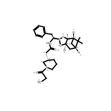 CC1(C)[C@@H]2C[C@H]3OB([C@H](Cc4ccccc4)NC(=O)C[C@@H]4CCCN(C(=O)CC#N)C4)O[C@@]3(C)[C@H]1C2